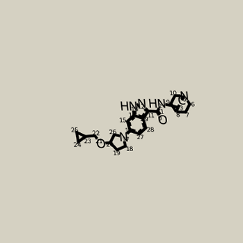 O=C(NC1CN2CCC1CC2)c1n[nH]c2cc(N3CCC(OCC4CC4)C3)ccc12